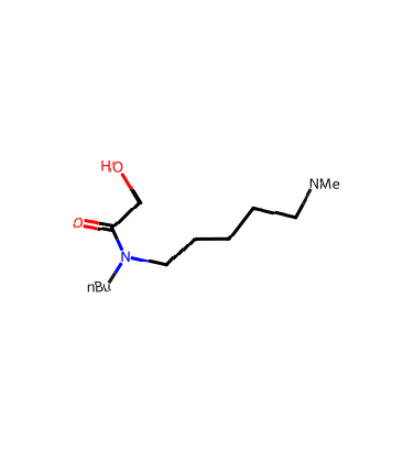 CCCCN(CCCCCNC)C(=O)CO